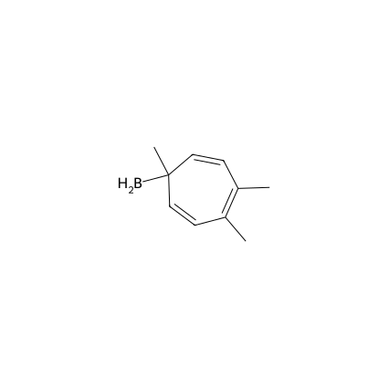 BC1(C)C=CC(C)=C(C)C=C1